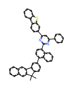 CC1(C)c2ccc(-c3ccc(-c4nc(-c5ccccc5)cc(-c5ccc6c(c5)sc5ccccc56)n4)c4ccccc34)cc2-c2cc3ccccc3cc21